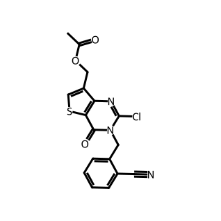 CC(=O)OCc1csc2c(=O)n(Cc3ccccc3C#N)c(Cl)nc12